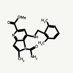 COC(=O)c1cc(NCc2c(C)cccc2C)c2c(cc(C)n2C(N)=O)n1